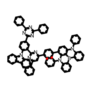 c1ccc(-c2cc(-c3ccc(-c4ccc5c6c4N(c4ccccc4)c4ccccc4B6c4ccccc4N5c4ccccc4)cc3)nc(-c3cc(-c4nc(-c5ccccc5)nc(-c5ccccc5)n4)ccc3-n3c4ccccc4c4ccccc43)n2)cc1